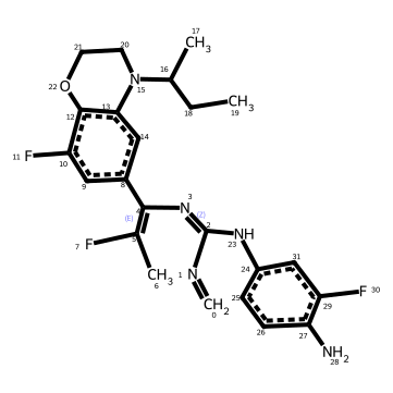 C=N/C(=N\C(=C(/C)F)c1cc(F)c2c(c1)N(C(C)CC)CCO2)Nc1ccc(N)c(F)c1